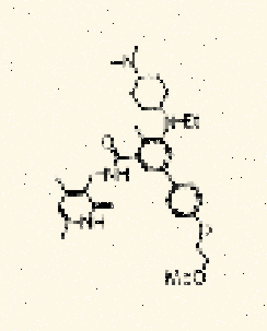 C=C1NC(C)=CC(C)=C1CNC(=O)c1cc(-c2ccc(OCCOC)cc2)cc(N(CC)[C@H]2CC[C@H](N(C)C)CC2)c1C